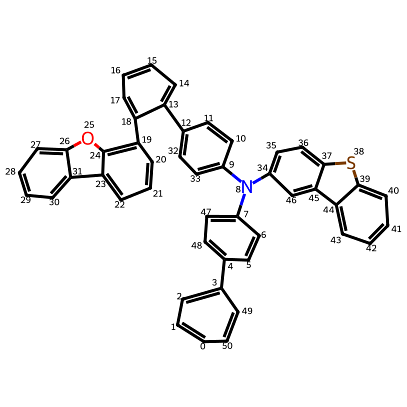 c1ccc(-c2ccc(N(c3ccc(-c4ccccc4-c4cccc5c4oc4ccccc45)cc3)c3ccc4sc5ccccc5c4c3)cc2)cc1